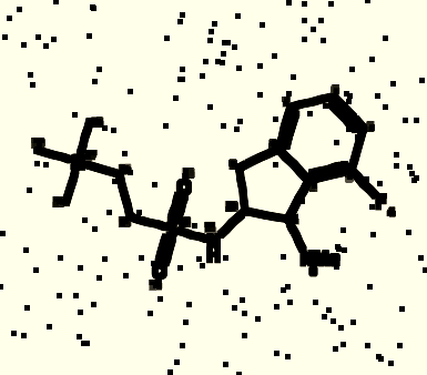 CNC1c2c(F)cccc2CC1NS(=O)(=O)CC[Si](C)(C)C